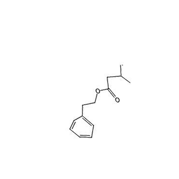 [CH2]C(C)CC(=O)OCCc1ccccc1